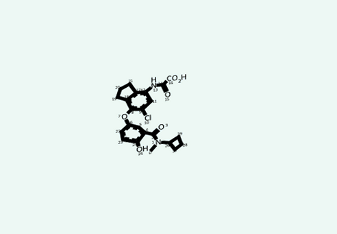 CN(C(=O)c1cc(Oc2c(Cl)cc(NC(=O)C(=O)O)c3c2CCC3)ccc1O)C1CCC1